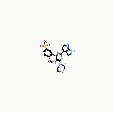 COc1ccc(S(=O)(=O)C(C)C)cc1-c1cc(N2CCOC[C@H]2C)nc(-c2ccnc3[nH]ccc23)n1